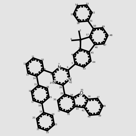 CC1(C)c2cc(-c3nc(-c4ccccc4-c4ccc(-c5ccccc5)cc4)nc(-c4cccc5c4oc4ccccc45)n3)ccc2-c2cccc(-c3ccccc3)c21